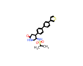 CC(C)S(=O)(=O)NC1CNC(=O)CC1c1ccc(-c2ccc(-c3ccsc3)cc2)cc1